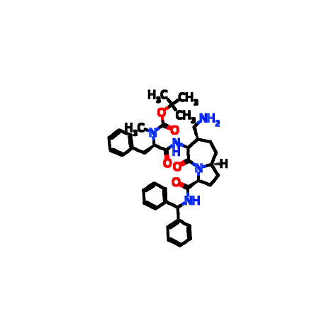 CN(C(=O)OC(C)(C)C)[C@H](Cc1ccccc1)C(=O)N[C@@H]1C(=O)N2[C@@H](CC[C@@H]1CN)CC[C@H]2C(=O)NC(c1ccccc1)c1ccccc1